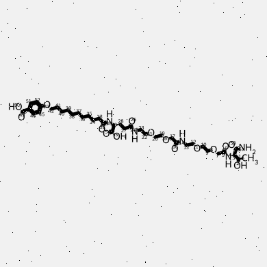 C[C@@H](O)[C@H](NC(=O)COCCOCCNC(=O)COCCOCCNC(=O)CC[C@H](NC(=O)CCCCCCCCCCOc1ccc(C(=O)O)cc1)C(=O)O)C(N)=O